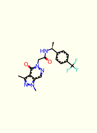 Cc1nn(C)c2cnn(CC(=O)N[C@@H](C)c3ccc(C(F)(F)F)cc3)c(=O)c12